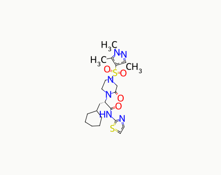 Cc1nn(C)c(C)c1S(=O)(=O)N1CCN([C@@H](CC2CCCCC2)C(=O)Nc2nccs2)C(=O)C1